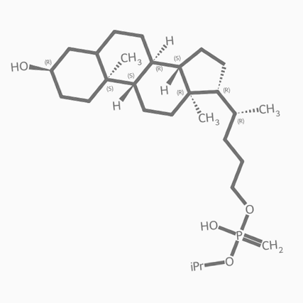 C=P(O)(OCCC[C@@H](C)[C@H]1CC[C@H]2[C@@H]3CCC4C[C@H](O)CC[C@]4(C)[C@H]3CC[C@]12C)OC(C)C